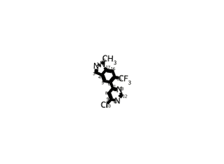 Cn1ncc2cc(-c3cc(Cl)ncn3)c(C(F)(F)F)cc21